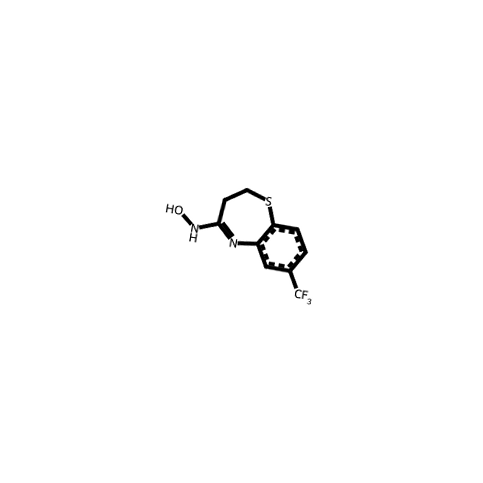 ONC1=Nc2cc(C(F)(F)F)ccc2SCC1